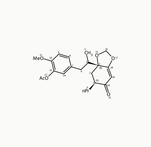 CCC[C@H]1C[C@]2(C(C)Cc3ccc(OC)c(OC(C)=O)c3)OCOC2=CC1=O